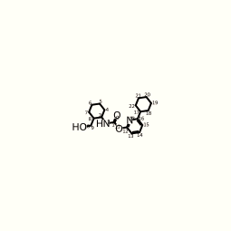 O=C(NC1CCCCC1CO)Oc1cccc(C2CCCCC2)n1